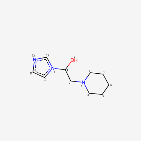 OC(CN1CCCCC1)n1ccnc1